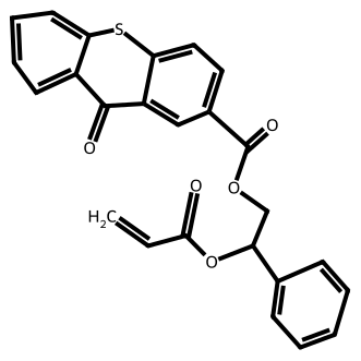 C=CC(=O)OC(COC(=O)c1ccc2sc3ccccc3c(=O)c2c1)c1ccccc1